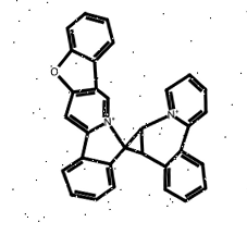 c1ccc2c(c1)-c1cccc[n+]1C1C2C12c1ccccc1-c1cc3oc4ccccc4c3c[n+]12